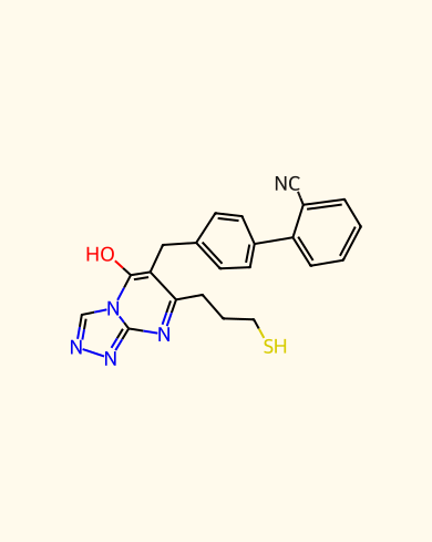 N#Cc1ccccc1-c1ccc(Cc2c(CCCS)nc3nncn3c2O)cc1